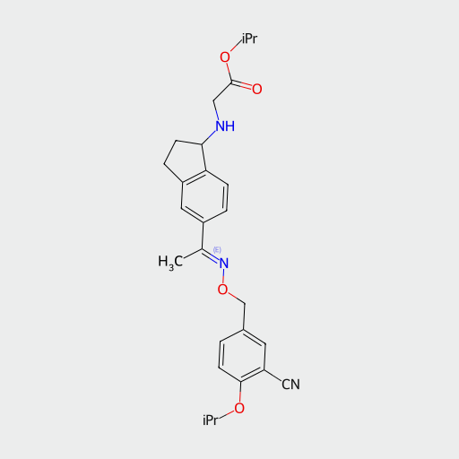 C/C(=N\OCc1ccc(OC(C)C)c(C#N)c1)c1ccc2c(c1)CCC2NCC(=O)OC(C)C